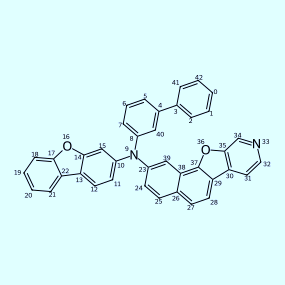 c1ccc(-c2cccc(N(c3ccc4c(c3)oc3ccccc34)c3ccc4ccc5c6ccncc6oc5c4c3)c2)cc1